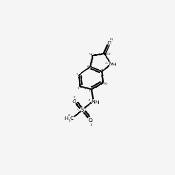 CS(=O)(=O)Nc1ccc2c(c1)NC(=O)C2